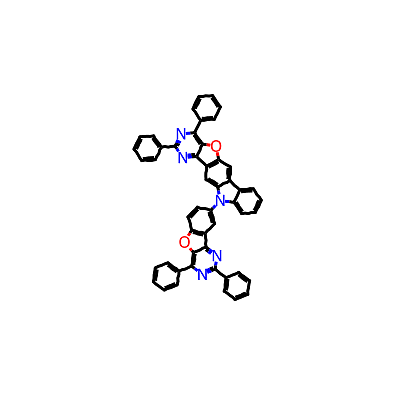 c1ccc(-c2nc(-c3ccccc3)c3oc4ccc(-n5c6ccccc6c6cc7oc8c(-c9ccccc9)nc(-c9ccccc9)nc8c7cc65)cc4c3n2)cc1